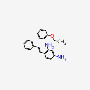 CCOc1ccccc1.Nc1ccc(C=Cc2ccccc2)c(N)c1